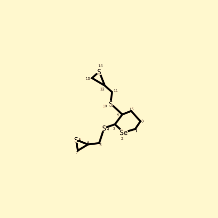 C1C[Se]C(SCC2CS2)C(SCC2CS2)C1